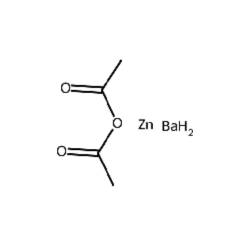 CC(=O)OC(C)=O.[BaH2].[Zn]